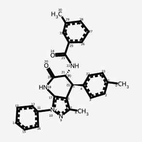 Cc1ccc([C@H]2c3c(C)nn(-c4ccccc4)c3NC(=O)[C@@H]2NC(=O)c2cccc(C)c2)cc1